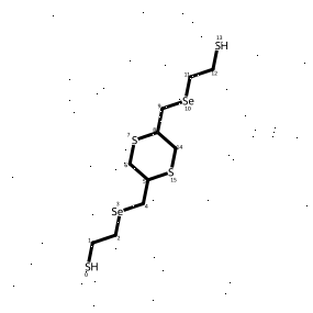 SCC[Se]CC1CSC(C[Se]CCS)CS1